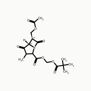 CC(=O)OC[C@H]1C(=O)N2C(C(=O)OCOC(=O)C(C)(C)C)C(C)C(=O)[C@H]12